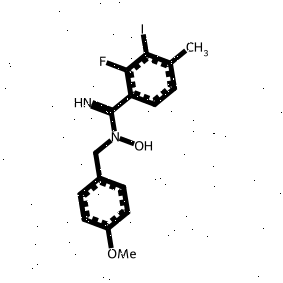 COc1ccc(CN(O)C(=N)c2ccc(C)c(I)c2F)cc1